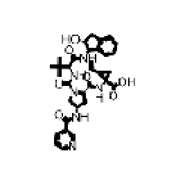 C=CC1C[C@]1(NC(=O)[C@@H]1C[C@@H](NC(=O)c2cccnc2)CN1C(=O)N[C@H](C(=O)NC1c2ccccc2C[C@H]1O)C(C)(C)C)C(=O)O